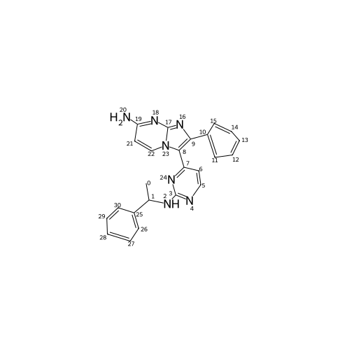 CC(Nc1nccc(-c2c(-c3ccccc3)nc3nc(N)ccn23)n1)c1ccccc1